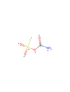 NC(=O)OS(=O)(=O)F